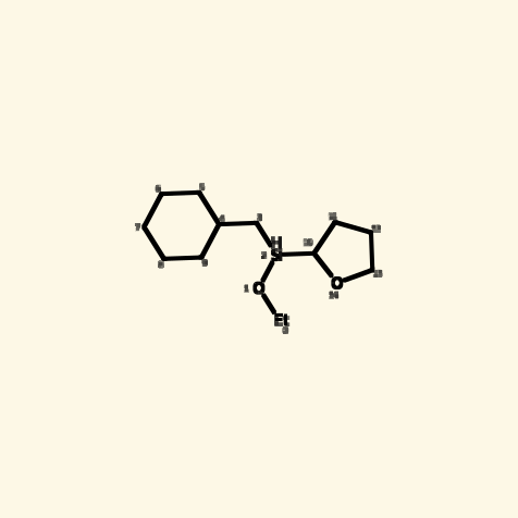 CCO[SiH](CC1CCCCC1)C1CCCO1